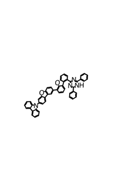 c1ccc(C2=NC(c3cccc4oc5c(-c6ccc7oc8cc(-n9c%10ccccc%10c%10ccccc%109)ccc8c7c6)cccc5c34)=NC(c3ccccc3)N2)cc1